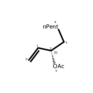 C=C[C@H](CCCCCC)OC(C)=O